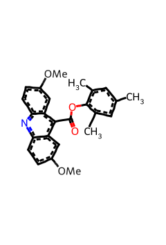 COc1ccc2nc3ccc(OC)cc3c(C(=O)Oc3c(C)cc(C)cc3C)c2c1